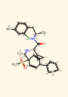 CS(=O)(=O)C1([C@@H](N[C@H](C(=O)N[C@H](C#N)Cc2ccc(C#N)cc2F)C2CC2)C(F)(F)F)C=CC(c2ccccc2)C=C1